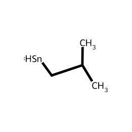 CC(C)[CH2][SnH]